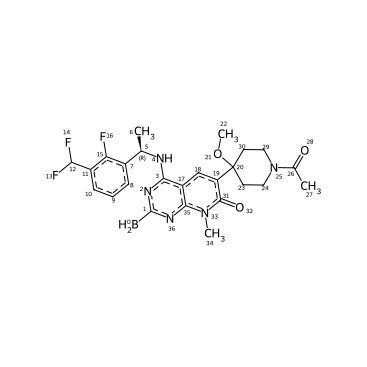 Bc1nc(N[C@H](C)c2cccc(C(F)F)c2F)c2cc(C3(OC)CCN(C(C)=O)CC3)c(=O)n(C)c2n1